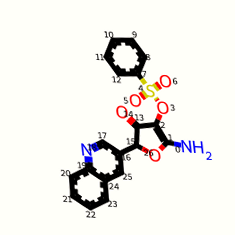 NC1=C(OS(=O)(=O)c2ccccc2)C(=O)C(c2cnc3ccccc3c2)O1